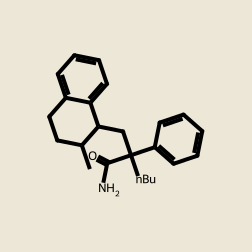 CCCCC(CC1c2ccccc2CCC1C)(C(N)=O)c1ccccc1